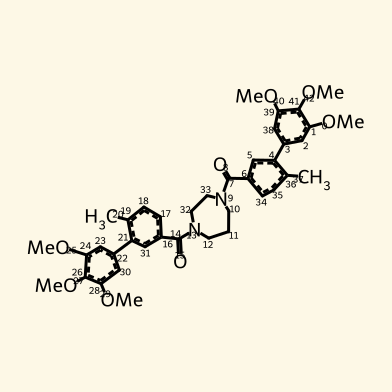 COc1cc(-c2cc(C(=O)N3CCCN(C(=O)c4ccc(C)c(-c5cc(OC)c(OC)c(OC)c5)c4)CC3)ccc2C)cc(OC)c1OC